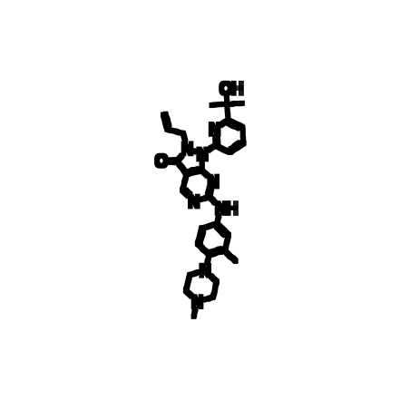 C=CCn1c(=O)c2cnc(Nc3ccc(N4CCN(C)CC4)c(C)c3)nc2n1-c1cccc(C(C)(C)O)n1